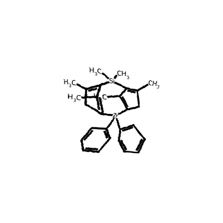 CC1=C2C(C)=[C](C1)[Zr]([c]1ccccc1)([c]1ccccc1)[C]1=C(C)C(=C(C)C1)[Si]2(C)C